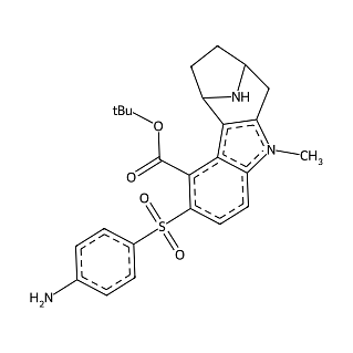 Cn1c2c(c3c(C(=O)OC(C)(C)C)c(S(=O)(=O)c4ccc(N)cc4)ccc31)C1CCC(C2)N1